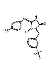 Cc1ccc(/N=C2/NC(=O)C(Cc3cccc(C(F)(F)F)c3)[S+]2[O-])cc1